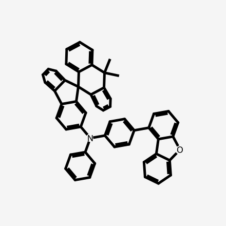 CC1(C)c2ccccc2C2(c3ccccc3-c3ccc(N(c4ccccc4)c4ccc(-c5cccc6oc7ccccc7c56)cc4)cc32)c2ccccc21